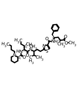 CCCCN1CCCC[C@@H]1C(=O)N[C@H](C(=O)N(C)C(CCc1nc(C(=O)N[C@@H](Cc2ccccc2)C[C@H](C)C(=O)OC)cs1)C(C)C)[C@@H](C)CC